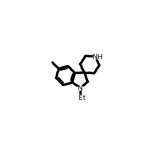 CCN1CC2(CCNCC2)c2cc(C)ccc21